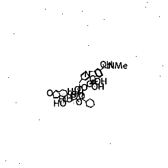 CNC[C@H](O)c1ccc(OP(=O)(O)O)c(CN2C=CC(CC(=O)OCC(=O)[C@@]34O[C@H](C5CCCCC5)O[C@@H]3C[C@H]3[C@@H]5CCC6=CC(=O)C=C[C@]6(C)[C@H]5[C@@H](O)C[C@@]34C)C=C2)c1